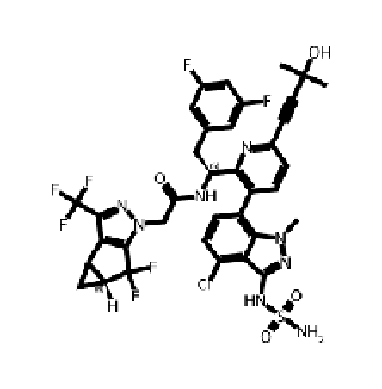 Cn1nc(NS(N)(=O)=O)c2c(Cl)ccc(-c3ccc(C#CC(C)(C)O)nc3[C@H](Cc3cc(F)cc(F)c3)NC(=O)Cn3nc(C(F)(F)F)c4c3C(F)(F)[C@@H]3CC43)c21